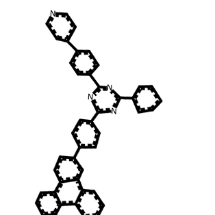 c1ccc(-c2nc(-c3ccc(-c4ccncc4)cc3)nc(-c3ccc(-c4ccc5c6ccccc6c6ccccc6c5c4)cc3)n2)cc1